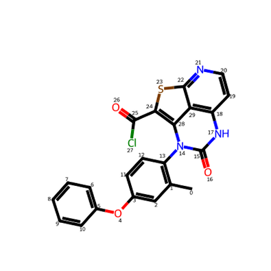 Cc1cc(Oc2ccccc2)ccc1N1C(=O)Nc2ccnc3sc(C(=O)Cl)c1c23